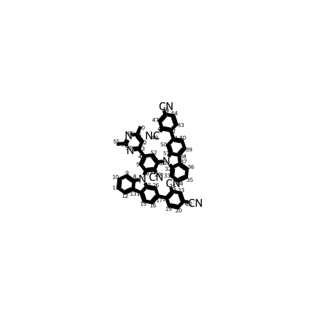 Cc1cc(-c2cc(-n3c4ccccc4c4ccc(-c5ccc(C#N)cc5C#N)cc43)c(C#N)c(-n3c4ccccc4c4ccc(-c5ccc(C#N)cc5C#N)cc43)c2)nc(C)n1